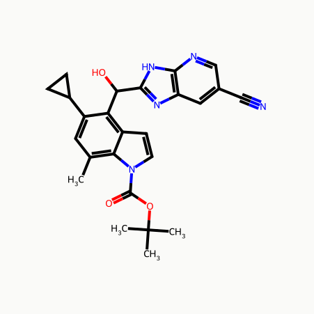 Cc1cc(C2CC2)c(C(O)c2nc3cc(C#N)cnc3[nH]2)c2ccn(C(=O)OC(C)(C)C)c12